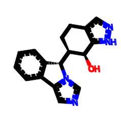 O[C@@H]1c2[nH]ncc2CC[C@@H]1[C@H]1c2ccccc2-c2cncn21